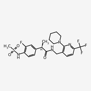 C[C@@H](C(=O)NCc1ccc(C(F)(F)F)nc1N1CCCCC1)c1ccc(NS(C)(=O)=O)c(F)c1